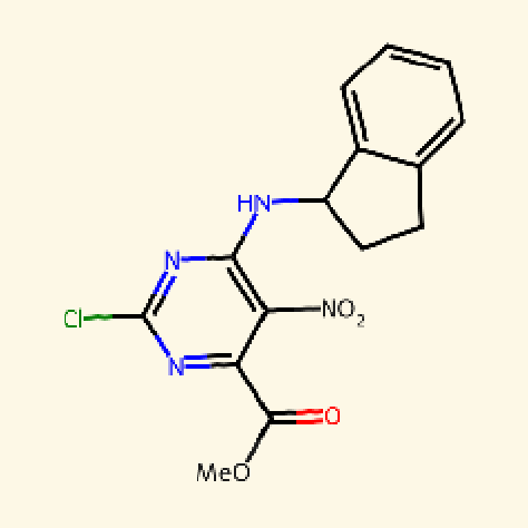 COC(=O)c1nc(Cl)nc(NC2CCc3ccccc32)c1[N+](=O)[O-]